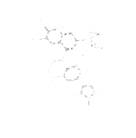 Cc1cc2c(N3CCN(C)c4cc(-c5cnn(C)c5)ncc43)nc(N3C[C@@H]4C[C@H]3CO4)cc2n(C)c1=O